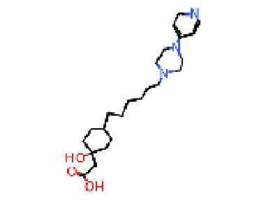 O=C(O)CC1(O)CCC(CCCCCCN2CCN(c3ccncc3)CC2)CC1